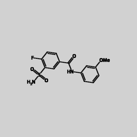 COc1cccc(NC(=O)c2ccc(F)c(S(N)(=O)=O)c2)c1